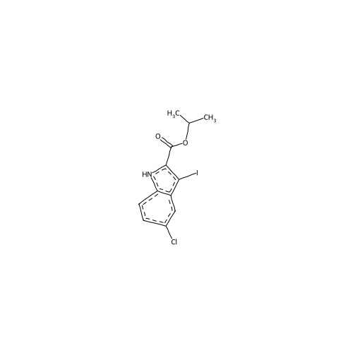 CC(C)OC(=O)c1[nH]c2ccc(Cl)cc2c1I